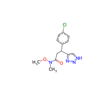 CON(C)C(=O)CC(c1ccc(Cl)cc1)c1c[nH]nn1